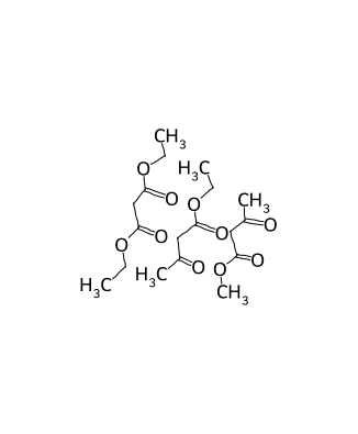 CCOC(=O)CC(=O)OCC.CCOC(=O)CC(C)=O.COC(=O)CC(C)=O